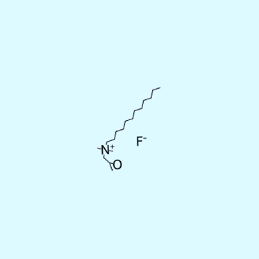 CCCCCCCCCCCC[N+](C)(C)CC1CO1.[F-]